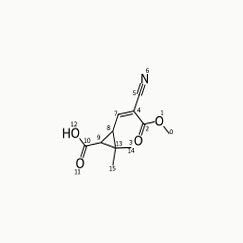 COC(=O)C(C#N)=CC1C(C(=O)O)C1(C)C